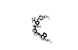 Cc1ncc(C(=O)Nc2ccc(CN3CCN(C)CC3)c(C(F)(F)F)c2)cc1C#Cc1cnc(N)c2ccccc12